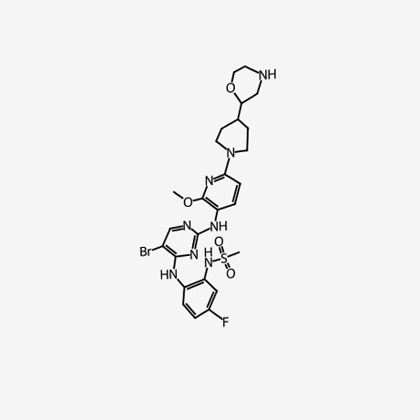 COc1nc(N2CCC(C3CNCCO3)CC2)ccc1Nc1ncc(Br)c(Nc2ccc(F)cc2NS(C)(=O)=O)n1